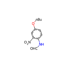 CCCCOc1ccc(NC=O)c([N+](=O)[O-])c1